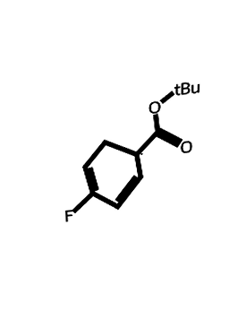 CC(C)(C)OC(=O)[C]1C=CC(F)=CC1